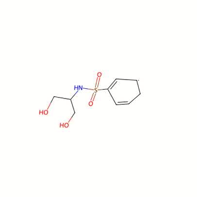 O=S(=O)(NC(CO)CO)C1=C[CH]CC=C1